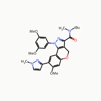 COc1cc(OC)cc(-n2nc(C(=O)N(C)C(C)(C)C)c3c2-c2cc(-c4ccn(C)n4)c(OC)cc2OC3)c1